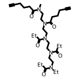 C#CCCCC(=O)N(C)CCN(CCN(CCN(CCN(CC)C(=O)CC)C(=O)CC)C(=O)CC)C(=O)CCCC#C